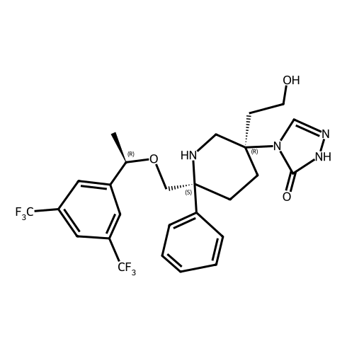 C[C@@H](OC[C@@]1(c2ccccc2)CC[C@](CCO)(n2cn[nH]c2=O)CN1)c1cc(C(F)(F)F)cc(C(F)(F)F)c1